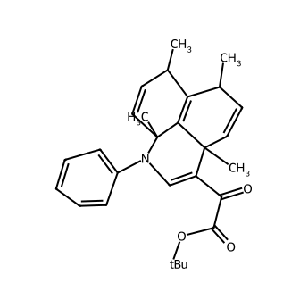 CC1C=CC2(C)C(C(=O)C(=O)OC(C)(C)C)=CN(c3ccccc3)C3(C)C=CC(C)C1=C23